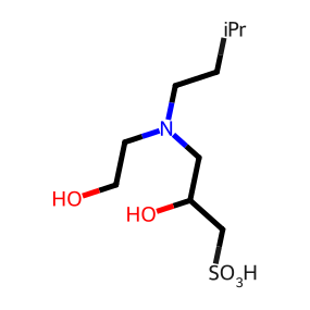 CC(C)CCN(CCO)CC(O)CS(=O)(=O)O